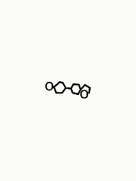 O=C1CCC(C2CCC3(CCCO3)CC2)CC1